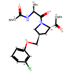 COC(=O)N[C@H](C(=O)N1C[C@H](COc2cccc(Br)c2)C[C@H]1C(=O)OC)C(C)(C)C